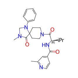 Cc1cc(C(=O)N[C@@H](C(=O)N2CCC3(CC2)C(=O)N(C)CN3c2ccccc2)C(C)C)ccn1